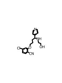 N#Cc1ccc(Cl)cc1OCCCC(NCCO)c1ccncc1